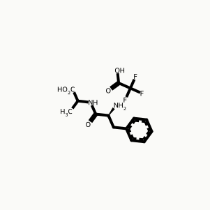 CC(NC(=O)[C@@H](N)Cc1ccccc1)C(=O)O.O=C(O)C(F)(F)F